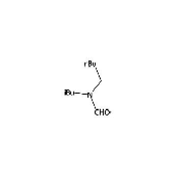 CCCCCN([C]=O)C(C)CC